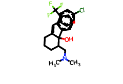 CN(C)CC1CCC/C(=C/c2ccc(Cl)cc2)C1(O)c1cccc(C(F)(F)F)c1